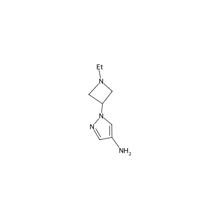 CCN1CC(n2cc(N)cn2)C1